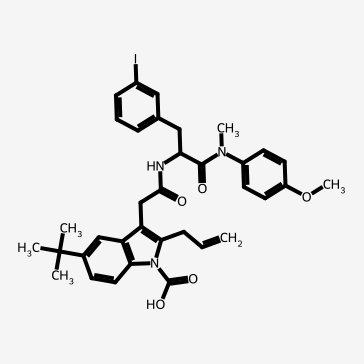 C=CCc1c(CC(=O)NC(Cc2cccc(I)c2)C(=O)N(C)c2ccc(OC)cc2)c2cc(C(C)(C)C)ccc2n1C(=O)O